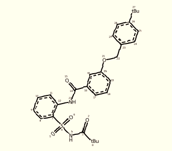 CC(C)(C)C(=O)NS(=O)(=O)c1ccccc1NC(=O)c1cccc(OCc2ccc(C(C)(C)C)cc2)c1